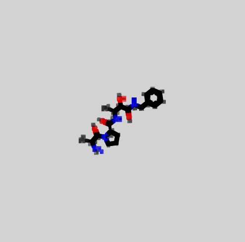 CC(C)[C@H](NC(=O)[C@@H]1CCCN1C(=O)[C@@H](N)C(C)C)C(O)C(=O)NCc1ccccc1